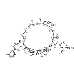 CO[C@@H]1C[C@H](C[C@@H](C)[C@@H]2CC(=O)[C@H](C)/C=C(\C)[C@@H](O)[C@@H](OC)C(=O)[C@H](C)C[C@H](C)/C=C/C=C/C=C(\C)C(OC3CCN(c4cccnn4)CC3)C[C@@H]3CC[C@@H](C)[C@@](O)(O3)C(=O)C(=O)N3CCCC[C@H]3C(=O)O2)CC[C@H]1O